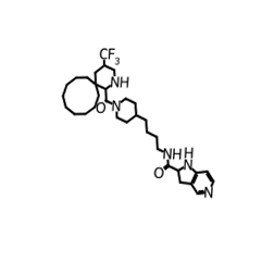 O=C(NCCCCC1CCN(C(=O)C2NCC(C(F)(F)F)CC23CCCCCCCCC3)CC1)C1Cc2cnccc2N1